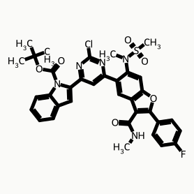 CNC(=O)c1c(-c2ccc(F)cc2)oc2cc(N(C)S(C)(=O)=O)c(-c3cc(-c4cc5ccccc5n4C(=O)OC(C)(C)C)nc(Cl)n3)cc12